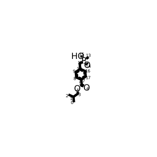 CC(C)COC(=O)c1ccc(CP(C)(=O)O)cc1